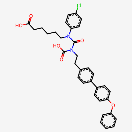 O=C(O)CCCCCN(C(=O)N(CCc1ccc(-c2ccc(Oc3ccccc3)cc2)cc1)C(=O)O)c1ccc(Cl)cc1